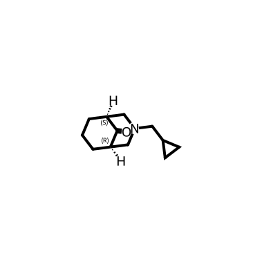 O=C1[C@@H]2CCC[C@H]1CN(CC1CC1)C2